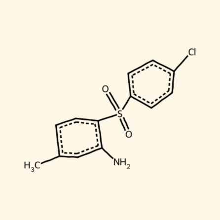 Cc1ccc(S(=O)(=O)c2ccc(Cl)cc2)c(N)c1